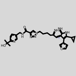 CC(C)(O)c1ccc(CNC(=O)c2cn(CCCCC(=N)/C=C3\C(=N)NC(C4CC4)=C3c3ccoc3)nn2)cn1